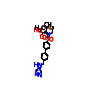 CC1(C)SCCN(S(=O)(=O)c2ccc(-c3ccc(CNn4cnnc4)cc3)cc2)[C@H]1C(=O)O